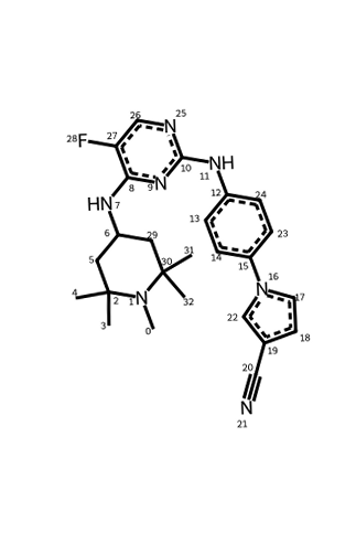 CN1C(C)(C)CC(Nc2nc(Nc3ccc(-n4ccc(C#N)c4)cc3)ncc2F)CC1(C)C